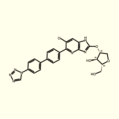 OC[C@H]1OC[C@@H](Oc2nc3nc(-c4ccc(-c5ccc(-n6cnnn6)cc5)cc4)c(Cl)cc3[nH]2)[C@@H]1O